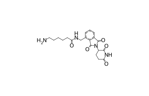 NCCCCCC(=O)NCc1cccc2c1C(=O)N(C1CCC(=O)NC1=O)C2=O